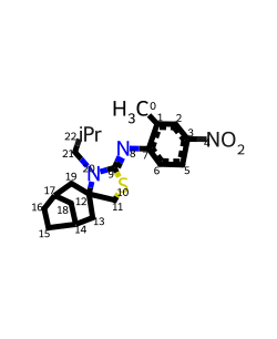 Cc1cc([N+](=O)[O-])ccc1/N=C1\SCC2(CC3CCC(C3)C2)N1CC(C)C